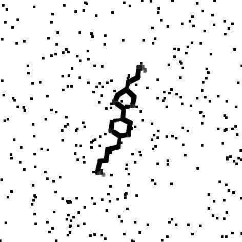 CCCCC[C@H]1OC[C@H]([C@H]2OC[C@H](CCC)CO2)CO1